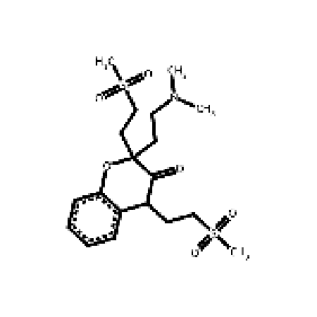 CN(C)CCC1(CCS(C)(=O)=O)Oc2ccccc2C(CCS(C)(=O)=O)C1=O